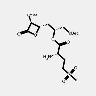 CCCCCCCCCCC[C@@H](C[C@@H]1OC(=O)[C@H]1CCCCCC)OC(=O)[C@@H](N)CCS(C)(=O)=O